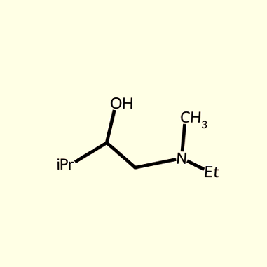 CCN(C)CC(O)C(C)C